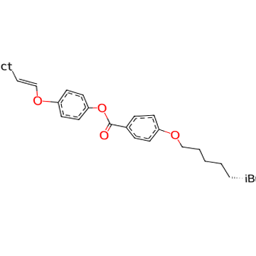 CCCCCCCC/C=C/Oc1ccc(OC(=O)c2ccc(OCCCCC[C@@H](C)CC)cc2)cc1